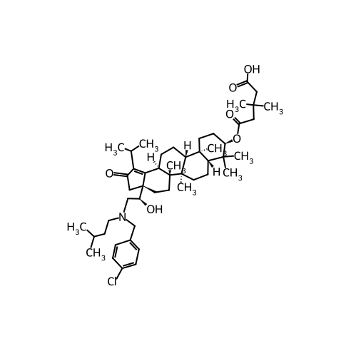 CC(C)CCN(Cc1ccc(Cl)cc1)C[C@H](O)[C@@]12CC[C@]3(C)[C@H](CC[C@@H]4[C@@]5(C)CC[C@@H](OC(=O)CC(C)(C)CC(=O)O)C(C)(C)[C@@H]5CC[C@]43C)C1=C(C(C)C)C(=O)C2